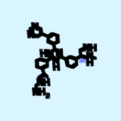 CN/C=C(\C=N)c1cccc(C2N=C(c3cccc(-c4cncnc4)c3)NC(c3cccc(/C(C)=C/NCN)c3)N2)c1